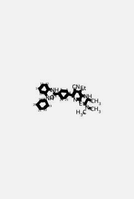 CCc1nc(-c2ccc(C(=O)Nc3ccccc3Nc3ccccc3)cc2)c(C#N)c(CC)c1NC(C)CN(C)C